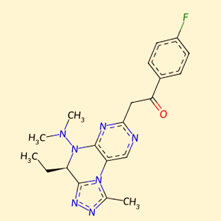 CC[C@@H]1c2nnc(C)n2-c2cnc(CC(=O)c3ccc(F)cc3)nc2N1N(C)C